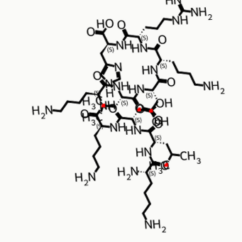 CC(C)C[C@H](NC(=O)[C@H](CCCCN)NC(=O)[C@H](CCCCN)NC(=O)[C@H](CC(=O)O)NC(=O)[C@H](CC(C)C)NC(=O)[C@@H](N)CCCCN)C(=O)N[C@@H](CC(=O)O)C(=O)N[C@@H](CCCCN)C(=O)N[C@@H](CCCNC(=N)N)C(=O)N[C@@H](Cc1c[nH]cn1)C(=O)O